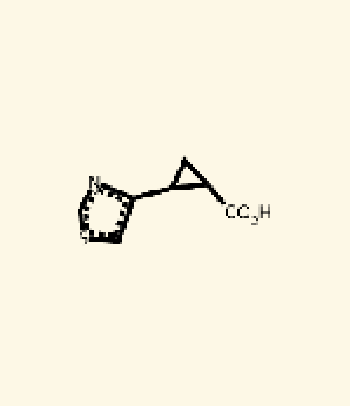 O=C(O)C1CC1c1cscn1